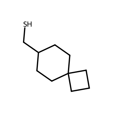 SCC1CCC2(CCC2)CC1